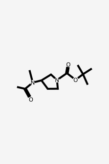 CC(=O)N(C)C1CCN(C(=O)OC(C)(C)C)C1